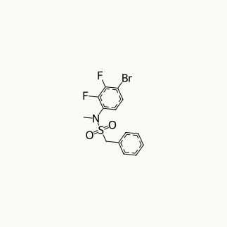 CN(c1ccc(Br)c(F)c1F)S(=O)(=O)Cc1ccccc1